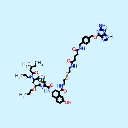 CCCO[C@H](CC(C(C)C)N(CCC)C(=O)C[C@@H](C)CC)c1nc(C(=O)N[C@H]2Cc3ccc(O)cc3[C@H](C(=O)NCCSSCCNC(=O)CCCC(=O)NCc3ccc(COc4nc(N)nc5[nH]cnc45)cc3)C2)cs1